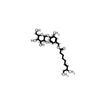 CCC(C)/C=C/CCCCC(=O)OCc1ccc(OC2OC(CO)C(O)C(O)C2O)c(C)c1